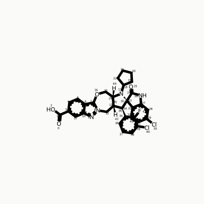 O=C(O)c1ccc2c3n(nc2c1)C[C@@H]1[C@H](CO3)N(C2CCCC2)[C@@]2(C(=O)Nc3cc(Cl)ccc32)[C@H]1c1cccc(Cl)c1F